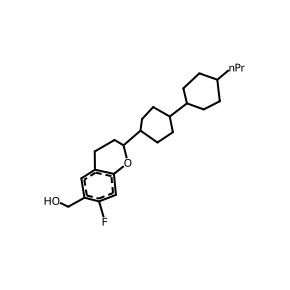 CCCC1CCC(C2CCC(C3CCc4cc(CO)c(F)cc4O3)CC2)CC1